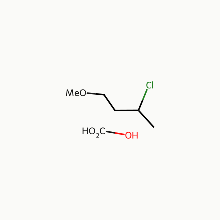 COCCC(C)Cl.O=C(O)O